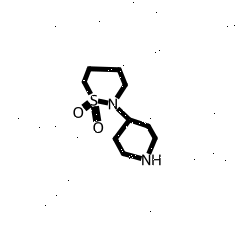 O=S1(=O)CCCCN1C1CCNCC1